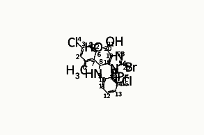 Cc1cc(Cl)ccc1C(Nc1cccc(Cl)c1F)c1c(C(O)O)nc(Br)n1C(C)C